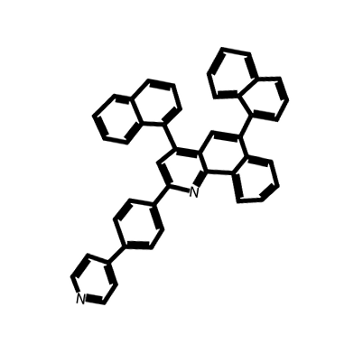 c1ccc2c(-c3cc4c(-c5cccc6ccccc56)cc(-c5ccc(-c6ccncc6)cc5)nc4c4ccccc34)cccc2c1